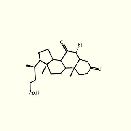 CC[C@H]1C(=O)C2C(CC[C@@]3(C)C2CC[C@@H]3[C@H](C)CCC(=O)O)[C@@]2(C)CCC(=O)CC12